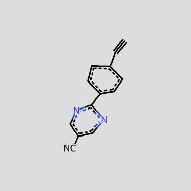 C#Cc1ccc(-c2ncc(C#N)cn2)cc1